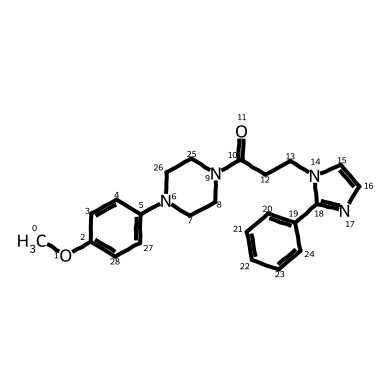 COc1ccc(N2CCN(C(=O)CCn3ccnc3-c3ccccc3)CC2)cc1